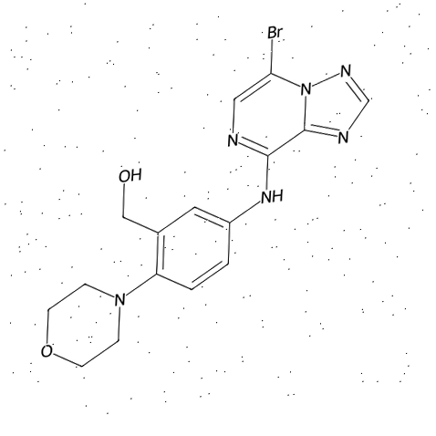 OCc1cc(Nc2ncc(Br)n3ncnc23)ccc1N1CCOCC1